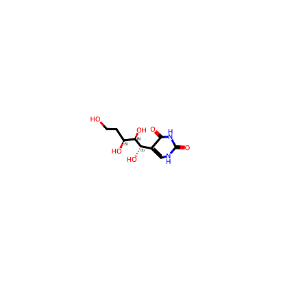 O=c1[nH]cc([C@H](O)[C@H](O)[C@@H](O)CCO)c(=O)[nH]1